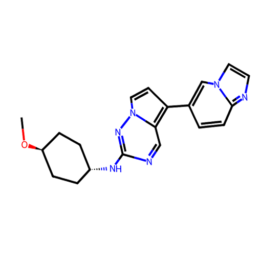 CO[C@H]1CC[C@H](Nc2ncc3c(-c4ccc5nccn5c4)ccn3n2)CC1